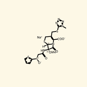 CO[C@@]1(NC(=O)C[S+]([O-])c2cccs2)C(=O)N2C(C(=O)[O-])=C(CSc3nnnn3C)CS[C@H]21.[Na+]